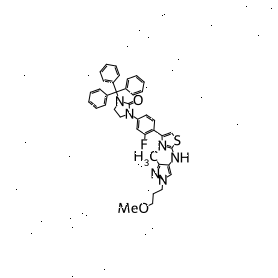 COCCCn1cc(Nc2nc(-c3ccc(N4CCN(C(c5ccccc5)(c5ccccc5)c5ccccc5)C4=O)cc3F)cs2)c(C)n1